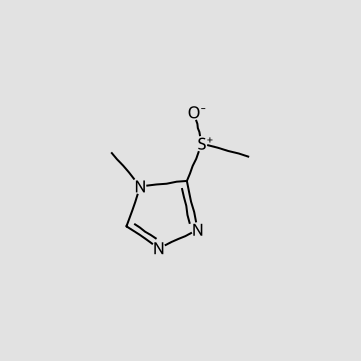 Cn1cnnc1[S+](C)[O-]